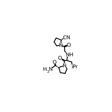 CC(C)CC(NCC(=O)N1CCC[C@H]1C#N)C(=O)N1CCC[C@H]1C(N)=O